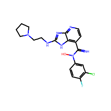 N=C(c1ccnc2nc(NCCN3CCCC3)[nH]c12)N(O)c1ccc(F)c(Cl)c1